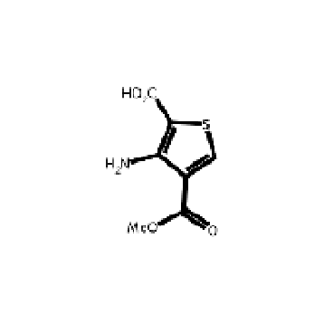 COC(=O)c1csc(C(=O)O)c1N